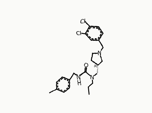 CCCN(C[C@@H]1CCN(Cc2ccc(Cl)c(Cl)c2)C1)C(=O)NCc1ccc(C)cc1